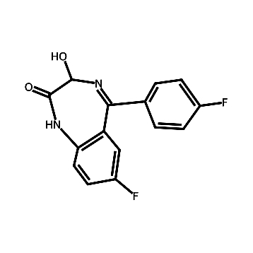 O=C1Nc2ccc(F)cc2C(c2ccc(F)cc2)=NC1O